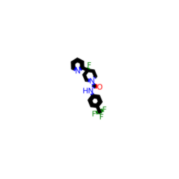 O=C(Nc1ccc(C(F)(F)F)cc1)N1CCC(F)(c2ccccn2)CC1